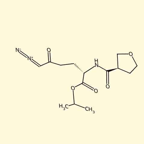 CC(C)OC(=O)[C@H](CCC(=O)C=[N+]=[N-])NC(=O)[C@@H]1CCOC1